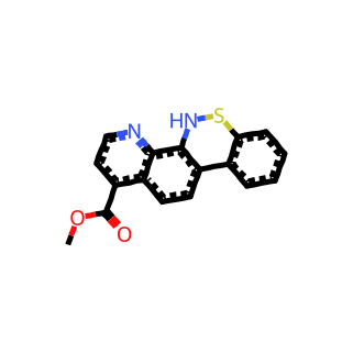 COC(=O)c1ccnc2c3c(ccc12)-c1ccccc1SN3